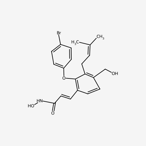 CC(C)=CCc1c(CO)ccc(/C=C/C(=O)NO)c1Oc1ccc(Br)cc1